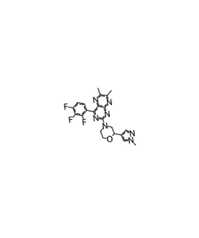 Cc1nc2nc(N3CCOC(c4cnn(C)c4)C3)nc(-c3ccc(F)c(F)c3F)c2nc1C